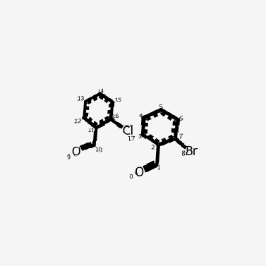 O=Cc1ccccc1Br.O=Cc1ccccc1Cl